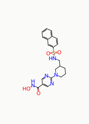 O=C(NO)c1cnc(N2CCCC(CNS(=O)(=O)c3ccc4ccccc4c3)C2)nc1